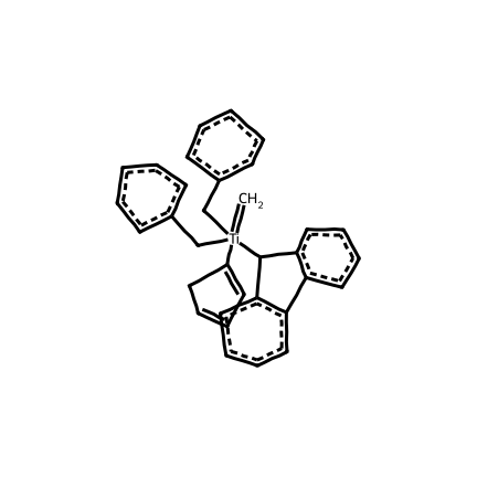 [CH2]=[Ti]([CH2]c1ccccc1)([CH2]c1ccccc1)([C]1=CC=CC1)[CH]1c2ccccc2-c2ccccc21